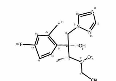 C[C@@H]([S+]([O-])CC#N)[C@](O)(Cn1cncn1)c1ccc(F)cc1F